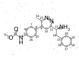 COC(=O)Nc1ccc(-c2cc([C@@H](N)Cc3ccccc3)nnc2C)cc1